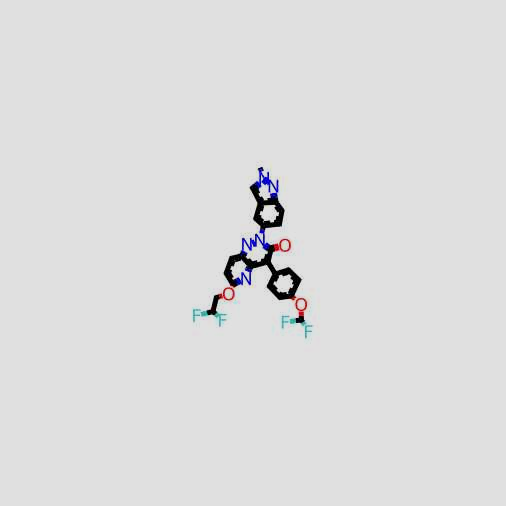 Cn1cc2cc(-n3nc4ccc(OCC(F)F)nc4c(-c4ccc(OC(F)F)cc4)c3=O)ccc2n1